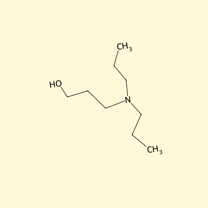 CCCN(CCC)CCCO